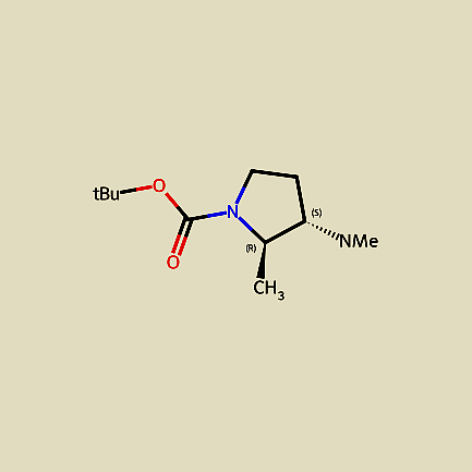 CN[C@H]1CCN(C(=O)OC(C)(C)C)[C@@H]1C